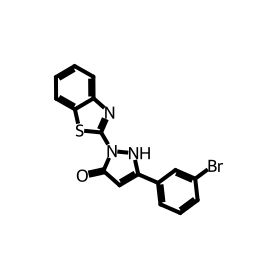 O=c1cc(-c2cccc(Br)c2)[nH]n1-c1nc2ccccc2s1